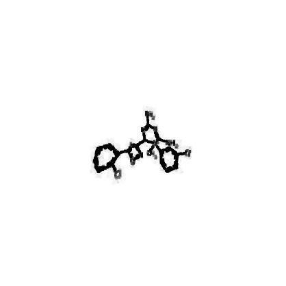 C[N+]1(c2cccc(Cl)c2)C(N)=NC(N)=NC1c1noc(-c2ccccc2Cl)n1